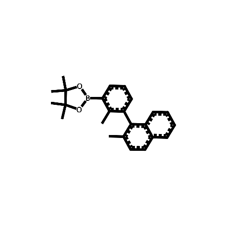 Cc1ccc2ccccc2c1-c1cccc(B2OC(C)(C)C(C)(C)O2)c1C